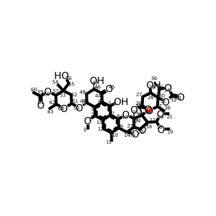 COc1c2c(c(O)c3c4c(c(C)cc13)C1OC3(C(OC)OC)OC1[C@@](OC1CC(O)C5(OC(=O)O[C@@H]5C)C(C)O1)(O4)[C@@]31CO1)C(=O)[C@@H](O)C[C@@H]2OC1CC(C)(CO)C(OC(C)=O)C(C)O1